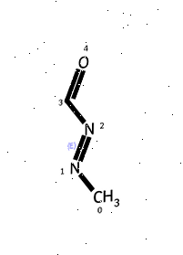 C/N=N/C=O